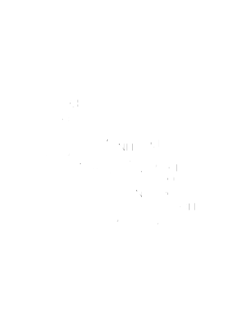 COc1cc2[nH]c(CC(C)C)c(Cc3cccc(C(=O)O)n3)c2cc1Cl